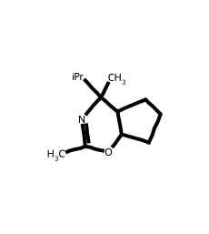 CC1=NC(C)(C(C)C)C2CCCC2O1